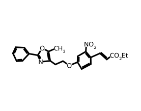 CCOC(=O)/C=C/c1ccc(OCCc2nc(-c3ccccc3)oc2C)cc1[N+](=O)[O-]